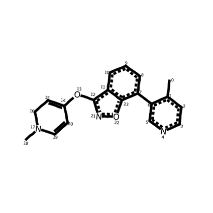 Cc1ccncc1-c1cccc2c(OC3=CCN(C)C=C3)noc12